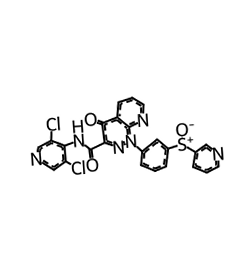 O=C(Nc1c(Cl)cncc1Cl)c1nn(-c2cccc([S+]([O-])c3cccnc3)c2)c2ncccc2c1=O